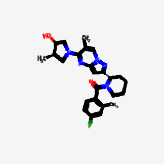 Cc1cc(F)ccc1C(=O)N1CCCC[C@H]1c1cc2nc(N3C[C@@H](C)[C@@H](O)C3)c(C)cn2n1